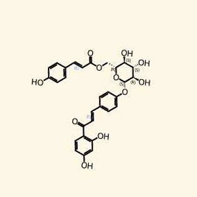 O=C(/C=C/c1ccc(O)cc1)OC[C@H]1O[C@@H](Oc2ccc(/C=C/C(=O)c3ccc(O)cc3O)cc2)[C@H](O)[C@@H](O)[C@@H]1O